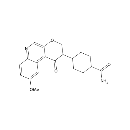 COc1ccc2ncc3c(c2c1)C(=O)C(C1CCC(C(N)=O)CC1)CO3